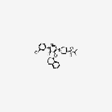 CC(C)S(=O)(=O)N1CCN(c2cnn(-c3cccc(Cl)c3)c(=O)c2OC2CCCc3ccccc32)CC1